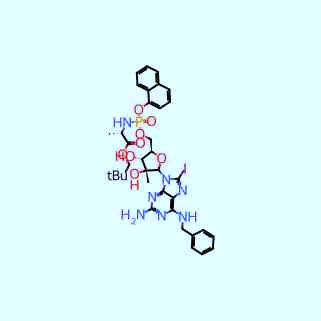 C[C@H](NP(=O)(OC[C@H]1OC(n2c(I)nc3c(NCc4ccccc4)nc(N)nc32)[C@](C)(O)[C@@H]1O)Oc1cccc2ccccc12)C(=O)OCC(C)(C)C